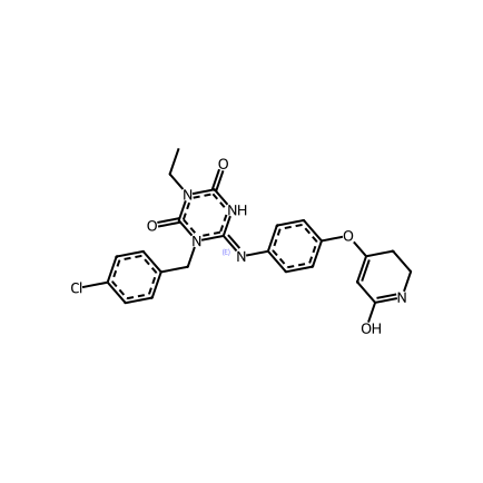 CCn1c(=O)[nH]/c(=N\c2ccc(OC3=CC(O)=NCC3)cc2)n(Cc2ccc(Cl)cc2)c1=O